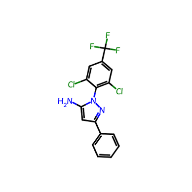 Nc1cc(-c2ccccc2)nn1-c1c(Cl)cc(C(F)(F)F)cc1Cl